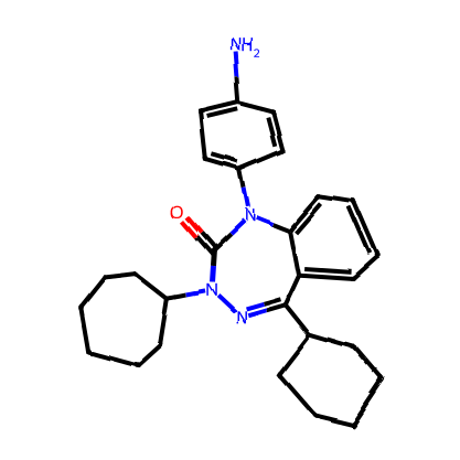 Nc1ccc(N2C(=O)N(C3CCCCCC3)N=C(C3CCCCC3)c3ccccc32)cc1